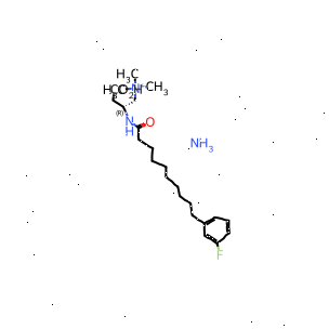 C[N+](C)(C)C[C@@H](CC(=O)O)NC(=O)CCCCCCCCCc1cccc(F)c1.N